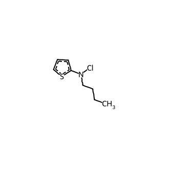 CCCCN(Cl)c1cccs1